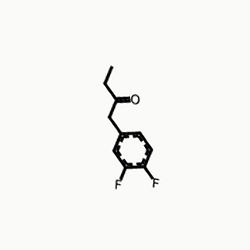 CCC(=O)Cc1ccc(F)c(F)c1